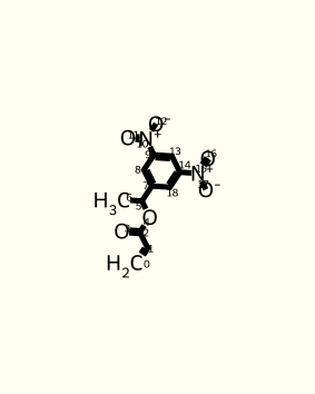 C=CC(=O)OC(C)c1cc([N+](=O)[O-])cc([N+](=O)[O-])c1